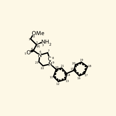 COC[C@@H](N)C(=O)N1CCN(c2cccc(-c3ccccc3)c2)CC1